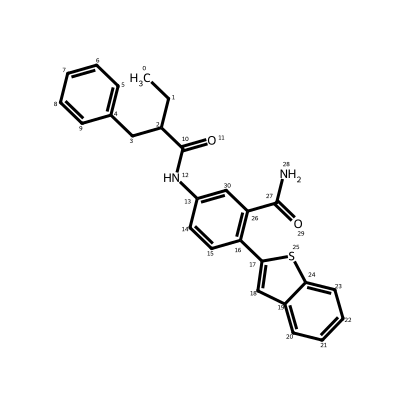 CCC(Cc1ccccc1)C(=O)Nc1ccc(-c2cc3ccccc3s2)c(C(N)=O)c1